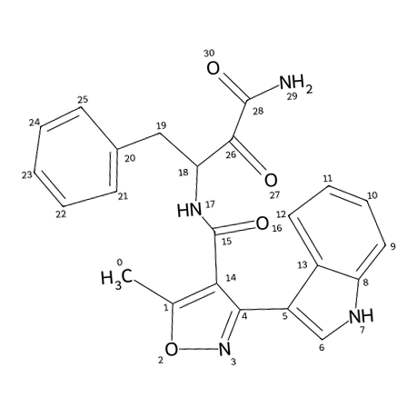 Cc1onc(-c2c[nH]c3ccccc23)c1C(=O)NC(Cc1ccccc1)C(=O)C(N)=O